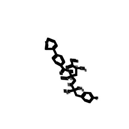 COC(=O)[C@@H](C)C[C@](C=O)(CNC(C)(C)Cc1ccc(F)cc1)NC(=O)c1ccc(-c2cccnc2)cc1